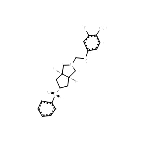 O=S(=O)(c1ccccc1)[C@H]1C[C@@H]2CN(CSc3ccc(O)c(F)c3)C[C@@H]2C1